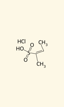 CC=C(C)S(=O)(=O)O.Cl